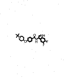 CC(C)(C)N1CCC(Oc2ccc(C(=O)Nc3c[nH]c4cc(F)c(F)cc34)cc2)CC1